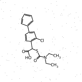 CCN(CC)C(=O)SC(C(=O)O)c1ccc(-c2ccccc2)cc1Cl